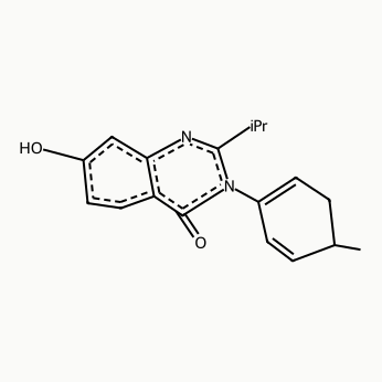 CC1C=CC(n2c(C(C)C)nc3cc(O)ccc3c2=O)=CC1